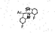 CC(=O)/C(=C(\S)Nc1c(F)cccc1Cl)c1ccc(F)cc1Br